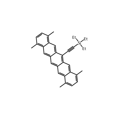 CC[Si](C#Cc1c2cc3c(C)ccc(C)c3cc2cc2cc3c(C)ccc(C)c3cc12)(CC)CC